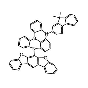 CC1(C)c2ccccc2-c2ccc(N3c4ccccc4B4c5ccccc5N(c5c6oc7ccccc7c6cc6c5oc5ccccc56)c5cccc3c54)cc21